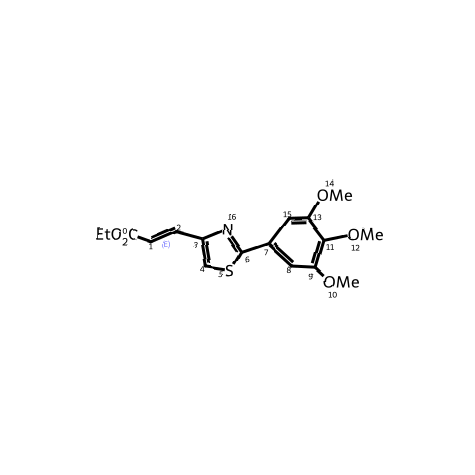 CCOC(=O)/C=C/c1csc(-c2cc(OC)c(OC)c(OC)c2)n1